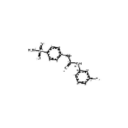 NS(=O)(=O)c1ccc(NC(=O)Nc2cccc(F)c2)cc1